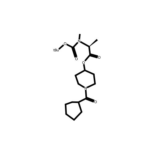 C[C@@H](C(=O)OC1CCN(C(=O)C2CCCCC2)CC1)N(C)C(=O)OC(C)(C)C